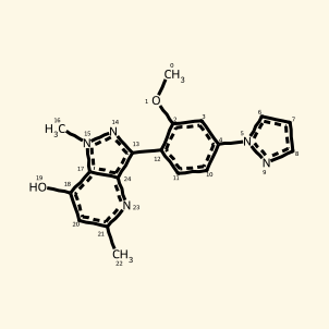 COc1cc(-n2cccn2)ccc1-c1nn(C)c2c(O)cc(C)nc12